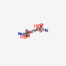 N#CCCC(C(=O)O)C(=O)OCCCCCCOC(=O)C(CCC#N)C(=O)O